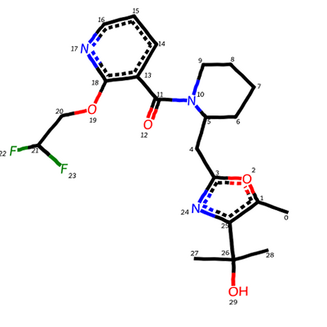 Cc1oc(CC2CCCCN2C(=O)c2cccnc2OCC(F)F)nc1C(C)(C)O